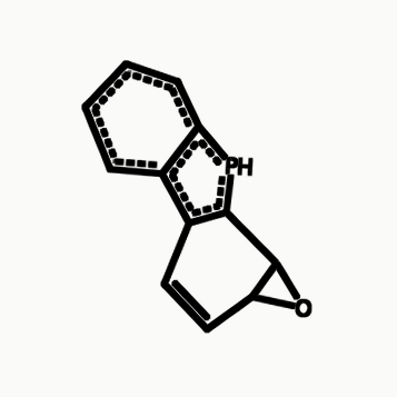 C1=CC2OC2c2[pH]c3ccccc3c21